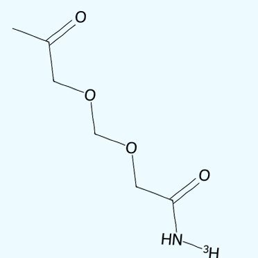 [3H]NC(=O)COCOCC(C)=O